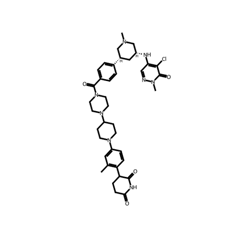 Cc1cc(N2CCC(N3CCN(C(=O)c4ccc([C@H]5C[C@@H](Nc6cnn(C)c(=O)c6Cl)CN(C)C5)cc4)CC3)CC2)ccc1C1CCC(=O)NC1=O